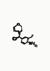 Nc1ccc(C(=O)N2CCOCC2)cc1F